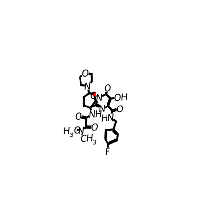 CN(C)C(=O)C(=O)NC12CCC(N3CCOCC3)(CC1)Cn1c2nc(C(=O)NCc2ccc(F)cc2)c(O)c1=O